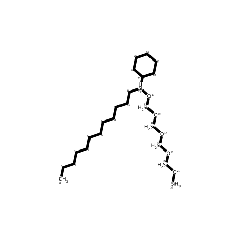 CCCCCCCCCCCC[SiH](O[SiH2]O[SiH2]O[SiH2]O[SiH2]O[SiH3])C1CCCCC1